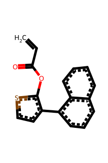 C=CC(=O)Oc1sccc1-c1cccc2ccccc12